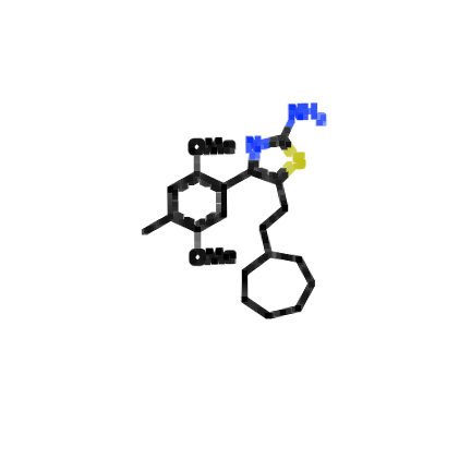 COc1cc(-c2nc(N)sc2CCC2CCCCCC2)c(OC)cc1C